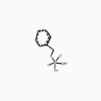 OP(O)(Cl)(Cl)OCc1ccccc1